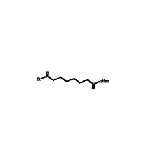 [CH2]CNCCCCCCNCCCCCC